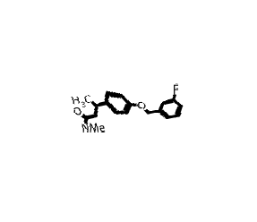 CNC(=O)CC(C)c1ccc(OCc2cccc(F)c2)cc1